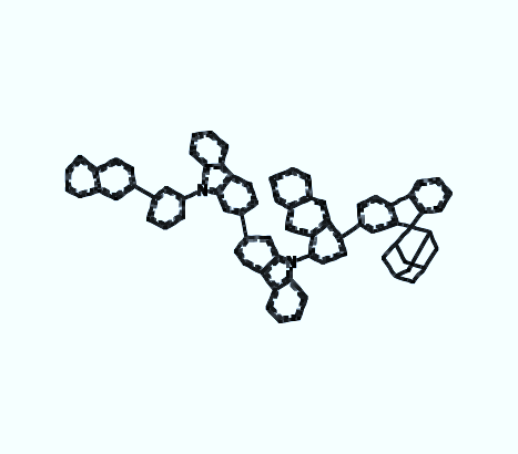 c1cc(-c2ccc3ccccc3c2)cc(-n2c3ccccc3c3ccc(-c4ccc5c6ccccc6n(-c6ccc(-c7ccc8c(c7)C7(c9ccccc9-8)C8CC9CC(C8)CC7C9)c7cc8ccccc8cc67)c5c4)cc32)c1